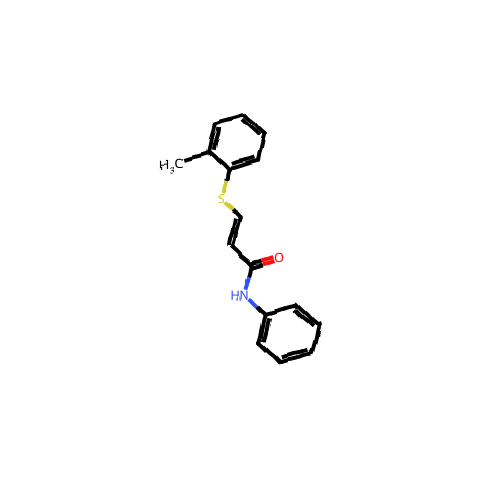 Cc1ccccc1SC=CC(=O)Nc1ccccc1